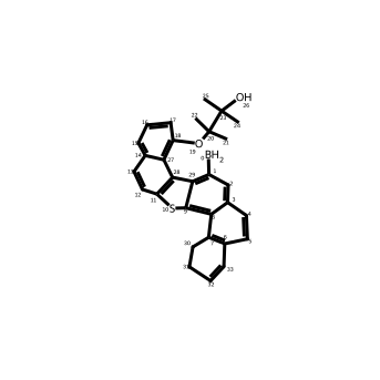 Bc1cc2ccc3c(c2c2sc4ccc5cccc(OC(C)(C)C(C)(C)O)c5c4c12)CCC=C3